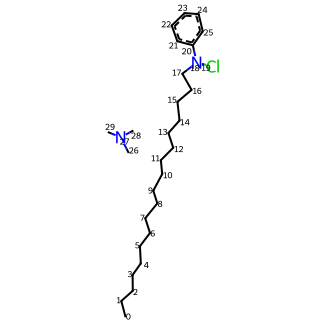 CCCCCCCCCCCCCCCCCCN(Cl)c1ccccc1.CN(C)C